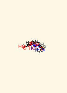 Cc1ncsc1-c1ccc(C(C)NC(=O)[C@@H]2C[C@@H](O)CN2C(=O)C(NC(=O)COc2ccc(CCC(=O)O)cc2)C(C)(C)C)cc1